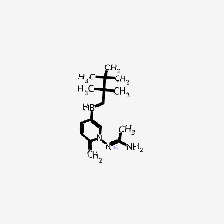 C=C1C=CC(BCC(C)(C)C(C)(C)C)=CN1/N=C(\C)N